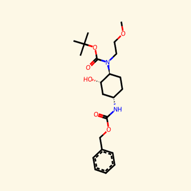 COCCN(C(=O)OC(C)(C)C)[C@H]1CC[C@H](NC(=O)OCc2ccccc2)C[C@@H]1O